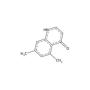 Cc1cc(C)c2c(=O)cc[nH]c2c1